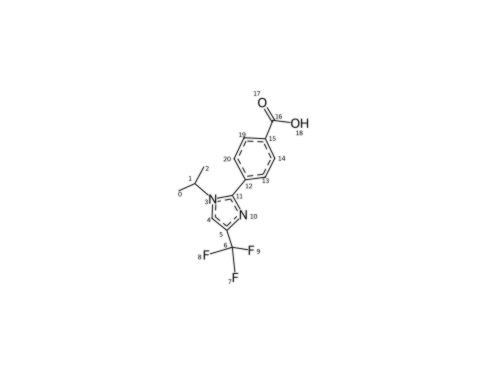 CC(C)n1cc(C(F)(F)F)nc1-c1ccc(C(=O)O)cc1